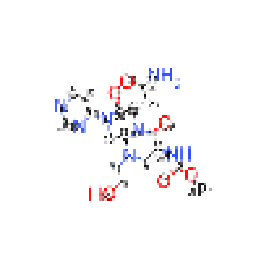 CC(C)OC(=O)N[C@H]1CN(CCO)C2CN(c3ccncn3)C(=O)[C@H](CC(N)=O)N2C1=O